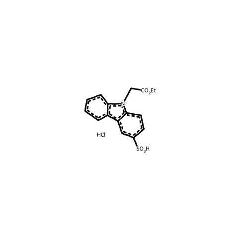 CCOC(=O)Cn1c2ccccc2c2cc(S(=O)(=O)O)ccc21.Cl